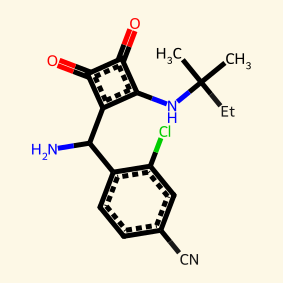 CCC(C)(C)Nc1c(C(N)c2ccc(C#N)cc2Cl)c(=O)c1=O